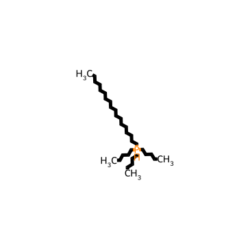 CCCCCCCCCCCCCCCCCC[PH](CCCCC)(CCCCC)CCCCC